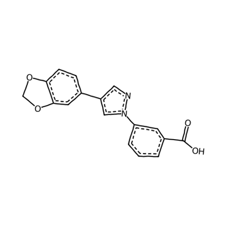 O=C(O)c1cccc(-n2cc(-c3ccc4c(c3)OCO4)cn2)c1